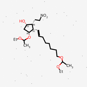 CCOC(C)OCCCCCCC=C[C@H]1[C@@H](CC[N+](=O)[O-])[C@@H](O)C[C@H]1OC(C)OCC